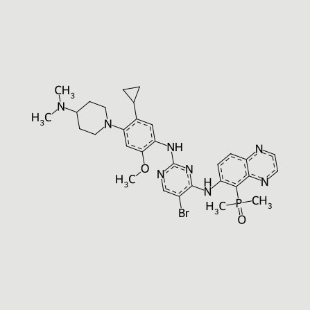 COc1cc(N2CCC(N(C)C)CC2)c(C2CC2)cc1Nc1ncc(Br)c(Nc2ccc3nccnc3c2P(C)(C)=O)n1